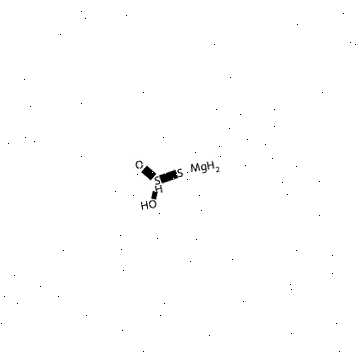 O=[SH](O)=S.[MgH2]